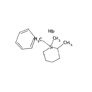 Br.CC1CCCC[Si]1(C)C.c1ccccc1